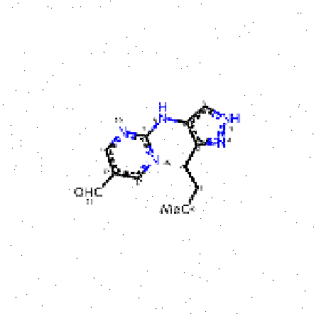 COCCc1n[nH]cc1Nc1ncc(C=O)cn1